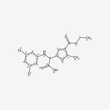 CCOC(=O)c1cc(C(Nc2cc(Cl)cc(Cl)c2)C(=O)O)oc1C